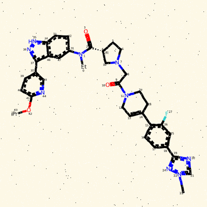 CCN(C(=O)[C@@H]1CCN(CC(=O)N2CC=C(c3ccc(-c4ncn(C)n4)cc3F)CC2)C1)c1ccc2[nH]nc(-c3ccc(OC(C)C)nc3)c2c1